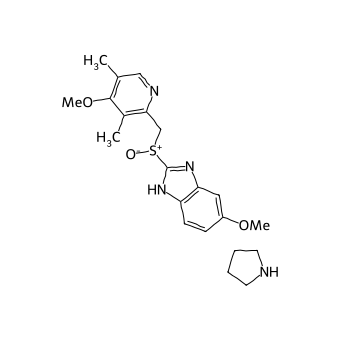 C1CCNC1.COc1ccc2[nH]c([S+]([O-])Cc3ncc(C)c(OC)c3C)nc2c1